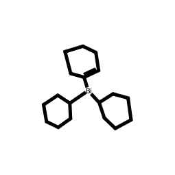 C1=[C]([Bi]([CH]2CCCCC2)[CH]2CCCCC2)CCCC1